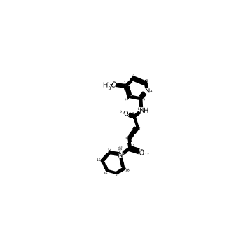 Cc1ccnc(NC(=O)C=CC(=O)N2CCCCC2)c1